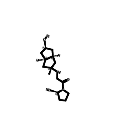 CCO[C@@H]1C[C@@H]2C[C@@](C)(NCC(=O)N3CCC[C@H]3C#N)C[C@@H]2C1